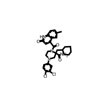 Cc1ccc2[nH]c(=O)cc(C(=O)N3CCN(c4ccc(Cl)c(Cl)c4)CC3(CC3CCCCC3)C(N)=O)c2c1